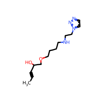 CC#CC(O)COCCCCNCCn1ccnn1